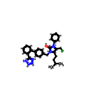 CC(C)CCc1c(CF)n(-c2ccccc2)c(=O)n1Cc1ccc(-c2ccccc2-c2nnn[nH]2)cc1